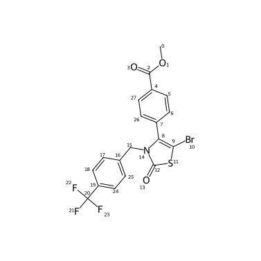 COC(=O)c1ccc(-c2c(Br)sc(=O)n2Cc2ccc(C(F)(F)F)cc2)cc1